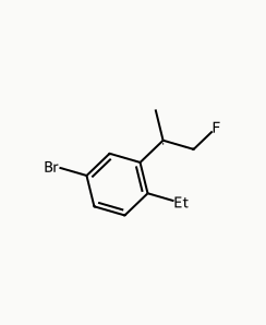 CCc1ccc(Br)cc1[C](C)CF